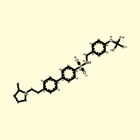 CC1CCCN1CCc1ccc(-c2ccc(S(=O)(=O)NCc3ccc(OC(F)(F)F)cc3)cc2)cc1